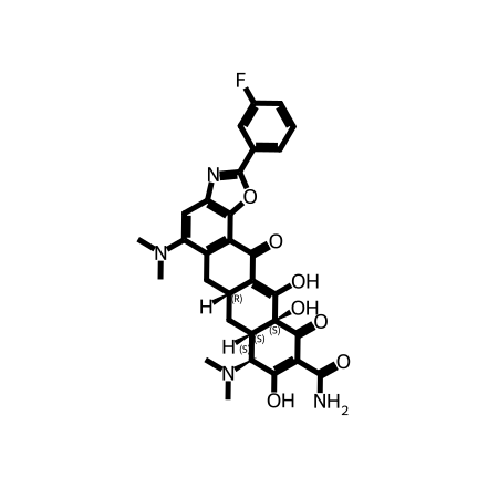 CN(C)c1cc2nc(-c3cccc(F)c3)oc2c2c1C[C@H]1C[C@H]3[C@H](N(C)C)C(O)=C(C(N)=O)C(=O)[C@@]3(O)C(O)=C1C2=O